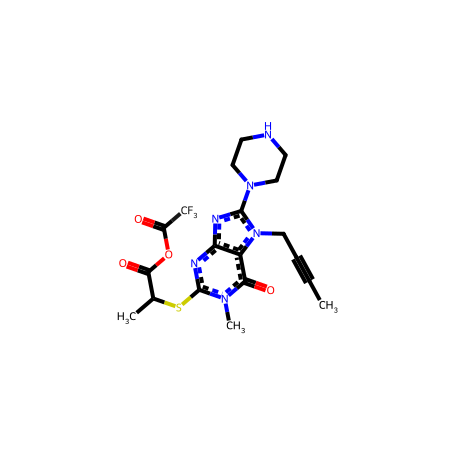 CC#CCn1c(N2CCNCC2)nc2nc(SC(C)C(=O)OC(=O)C(F)(F)F)n(C)c(=O)c21